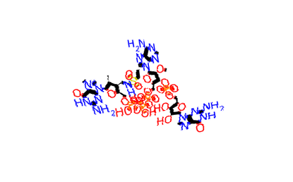 CCS(=O)(=O)NC[C@H]1[C@@H](C)[C@H](n2c[n+](C)c3c(=O)[nH]c(N)nc32)O[C@@H]1COP(=O)(O)OP(=O)(O)OP(=O)(O)OC[C@H]1O[C@@H](n2cnc3c(N)ncnc32)[C@H](OC)[C@@H]1OP(=O)([O-])OC[C@H]1O[C@@H](n2cnc3c(=O)[nH]c(N)nc32)[C@H](O)[C@@H]1O